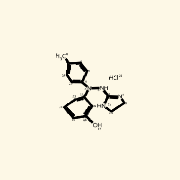 Cc1ccc(N(NC2=NCCN2)c2cccc(O)c2)cc1.Cl